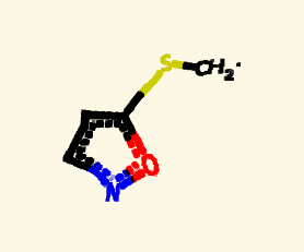 [CH2]Sc1ccno1